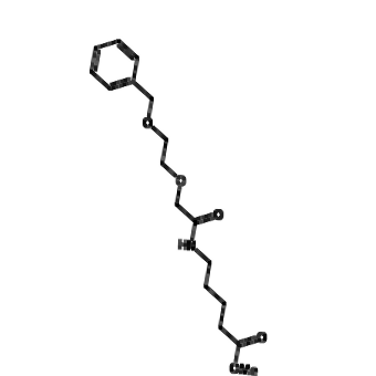 COC(=O)CCCCNC(=O)COCCOCc1ccccc1